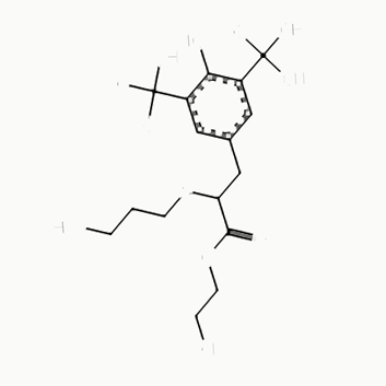 CCCCSC(Cc1cc(C(C)(C)C)c(O)c(C(C)(C)C)c1)C(=O)OCCC